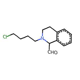 O=CC1c2ccccc2CCN1CCCCCl